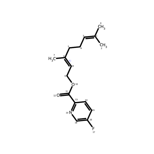 CC(C)=CCC/C(C)=C/COC(=O)c1ccc(F)cn1